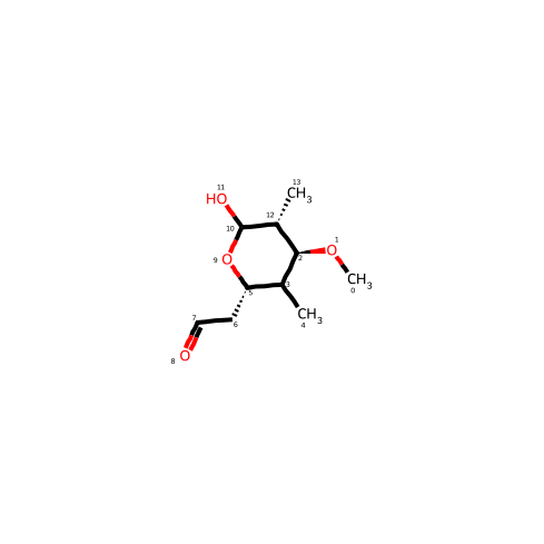 CO[C@H]1C(C)[C@H](CC=O)OC(O)[C@@H]1C